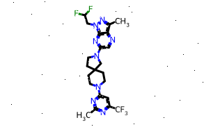 Cc1nc(N2CCC3(CC2)CCN(c2cnc4c(C)nn(CC(F)F)c4n2)C3)cc(C(F)(F)F)n1